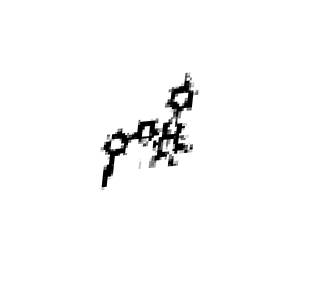 CC#Cc1cncc(-c2ccc([C@]34CN(c5ccc(F)cc5)C[C@H]3C(=O)N(C)C(=N)N4)s2)c1